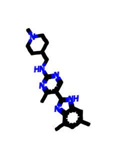 Cc1cc(C)c2nc(-c3cnc(NCC4CCN(C)CC4)nc3C)[nH]c2c1